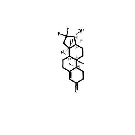 C[C@]12CC[C@H]3[C@@H](CCC4=CC(=O)CC[C@@]43C)[C@@H]1CC(F)(F)[C@@H]2O